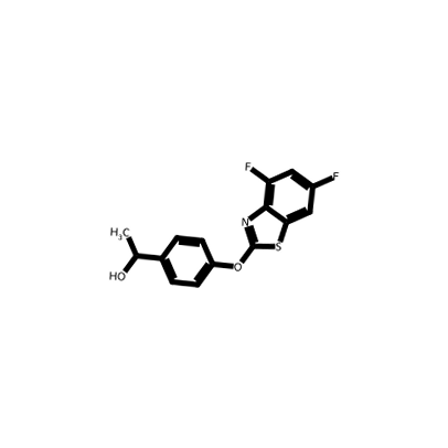 CC(O)c1ccc(Oc2nc3c(F)cc(F)cc3s2)cc1